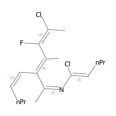 CCC\C=C/C(C(/C)=N\C(Cl)=C\CCC)=C(C)\C(F)=C(/C)Cl